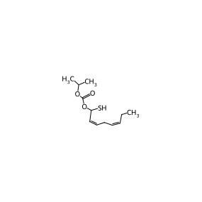 CC/C=C\C/C=C\C(S)OC(=O)OC(C)C